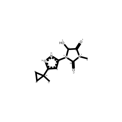 CN1C(=O)C(O)N(c2cc(C3(C)CC3)on2)C1=O